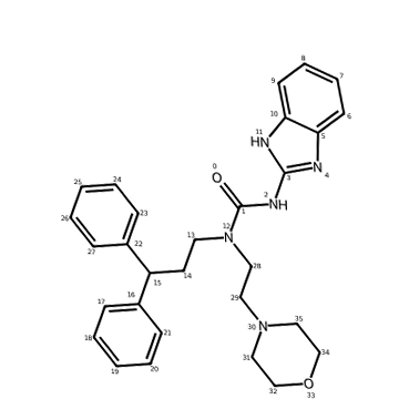 O=C(Nc1nc2ccccc2[nH]1)N(CCC(c1ccccc1)c1ccccc1)CCN1CCOCC1